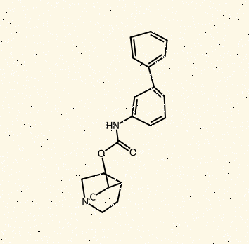 O=C(Nc1cccc(-c2ccccc2)c1)OC1CN2CCC1CC2